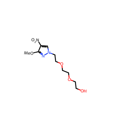 COc1nn(CCOCCOCCO)cc1[N+](=O)[O-]